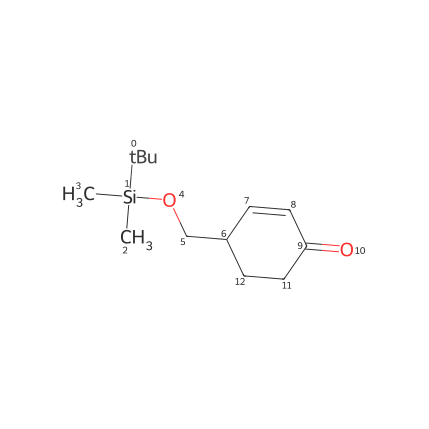 CC(C)(C)[Si](C)(C)OCC1C=CC(=O)CC1